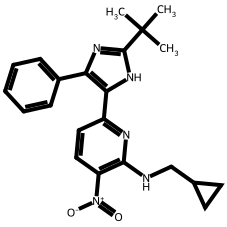 CC(C)(C)c1nc(-c2ccccc2)c(-c2ccc([N+](=O)[O-])c(NCC3CC3)n2)[nH]1